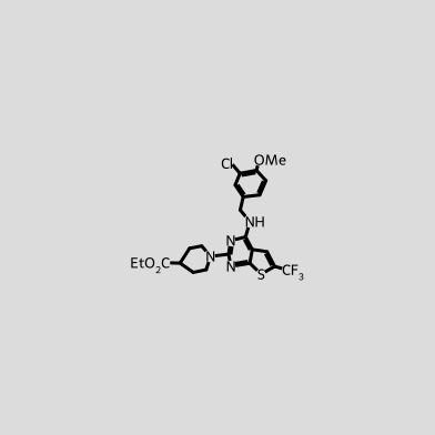 CCOC(=O)C1CCN(c2nc(NCc3ccc(OC)c(Cl)c3)c3cc(C(F)(F)F)sc3n2)CC1